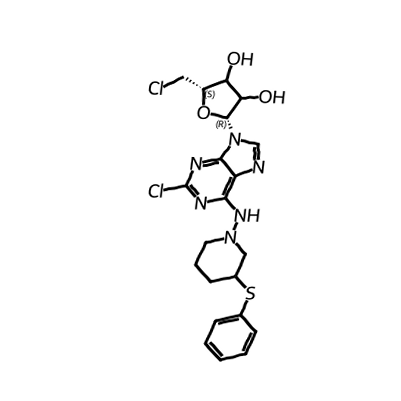 OC1C(O)[C@@H](CCl)O[C@H]1n1cnc2c(NN3CCCC(Sc4ccccc4)C3)nc(Cl)nc21